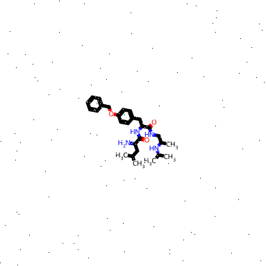 CC(C)CC(N)C(=O)NC(Cc1ccc(OCc2ccccc2)cc1)C(=O)NCC(C)NC(C)C